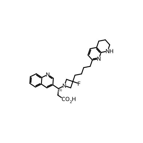 O=C(O)C[C@@H](c1cnc2ccccc2c1)N1CC(F)(CCCCc2ccc3c(n2)NCCC3)C1